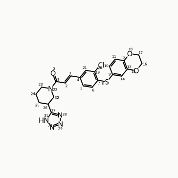 O=C(/C=C/c1ccc(Sc2ccc3c(c2)OCCO3)c(Cl)c1)N1CCCC(c2nnn[nH]2)C1